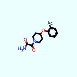 CC(=O)c1ccccc1OC1CCN(C(=O)C(N)=O)CC1